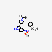 CCC(CC)N1CCC(c2c[nH]c3ccc(NS(=O)(=O)CC)cc23)CC1.O=S(=O)(O)c1ccccc1